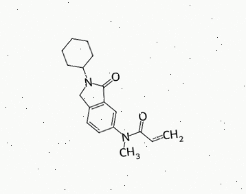 C=CC(=O)N(C)c1ccc2c(c1)C(=O)N(C1CCCCC1)C2